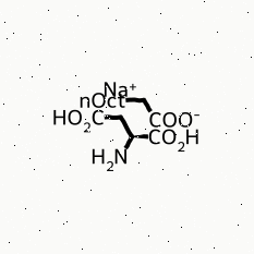 CCCCCCCCCC(=O)[O-].N[C@@H](CC(=O)O)C(=O)O.[Na+]